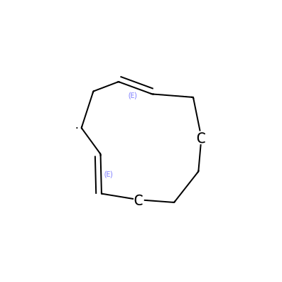 [CH]1/C=C/CCCCC/C=C/C1